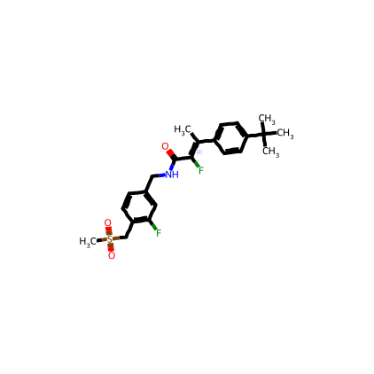 C/C(=C(/F)C(=O)NCc1ccc(CS(C)(=O)=O)c(F)c1)c1ccc(C(C)(C)C)cc1